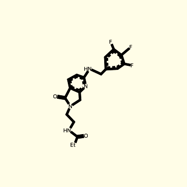 CCC(=O)NCCN1Cc2nc(NCc3cc(F)c(F)c(F)c3)ccc2C1=O